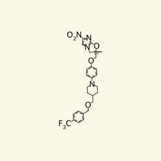 C[C@@]1(COc2ccc(N3CCC(COCc4ccc(C(F)(F)F)cc4)CC3)cc2)Cn2cc([N+](=O)[O-])nc2O1